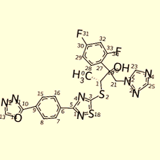 C[C@@H](Sc1nc(-c2ccc(-c3nnco3)cc2)ns1)C(O)(Cn1cncn1)c1ccc(F)cc1F